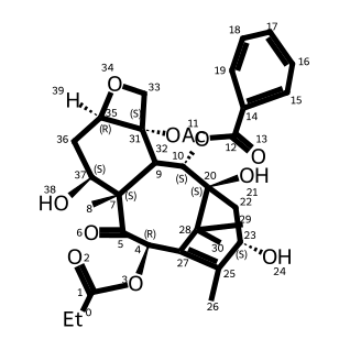 CCC(=O)O[C@H]1C(=O)[C@@]2(C)C([C@H](OC(=O)c3ccccc3)[C@]3(O)C[C@H](O)C(C)=C1C3(C)C)[C@]1(OC(C)=O)CO[C@@H]1C[C@@H]2O